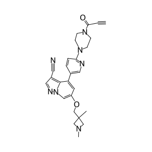 C#CC(=O)N1CCN(c2ccc(-c3cc(OCC4(C)CN(C)C4)cn4ncc(C#N)c34)cn2)CC1